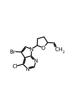 C=CC1CCC(n2cc(Br)c3c(Cl)ncnc32)O1